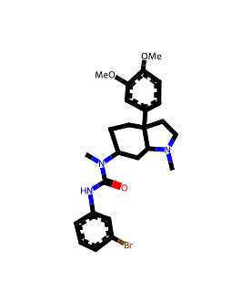 COc1ccc(C23CCC(N(C)C(=O)Nc4cccc(Br)c4)CC2N(C)CC3)cc1OC